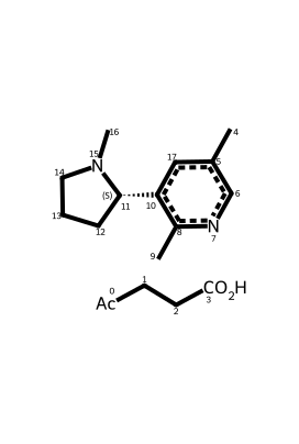 CC(=O)CCC(=O)O.Cc1cnc(C)c([C@@H]2CCCN2C)c1